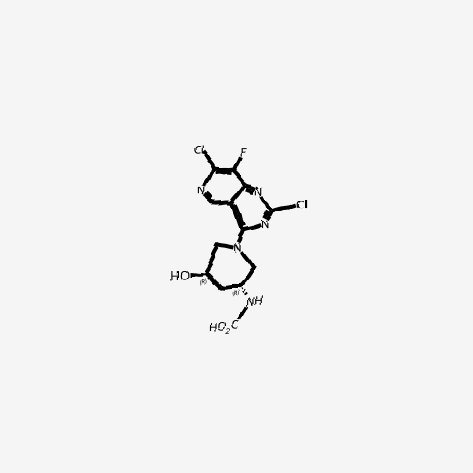 O=C(O)N[C@@H]1C[C@@H](O)CN(c2nc(Cl)nc3c(F)c(Cl)ncc23)C1